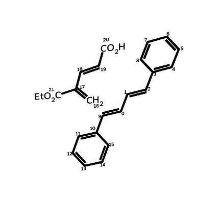 C(C=Cc1ccccc1)=Cc1ccccc1.C=C(C=CC(=O)O)C(=O)OCC